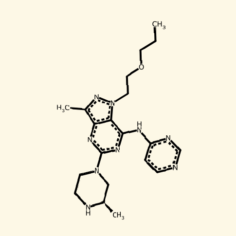 CCCOCCn1nc(C)c2nc(N3CCN[C@H](C)C3)nc(Nc3ccncn3)c21